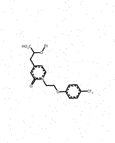 CCOC(Cc1ccn(CCOc2ccc(C(F)(F)F)cc2)c(=O)c1)C(=O)O